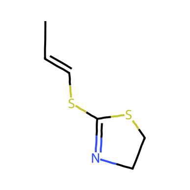 CC=CSC1=NCCS1